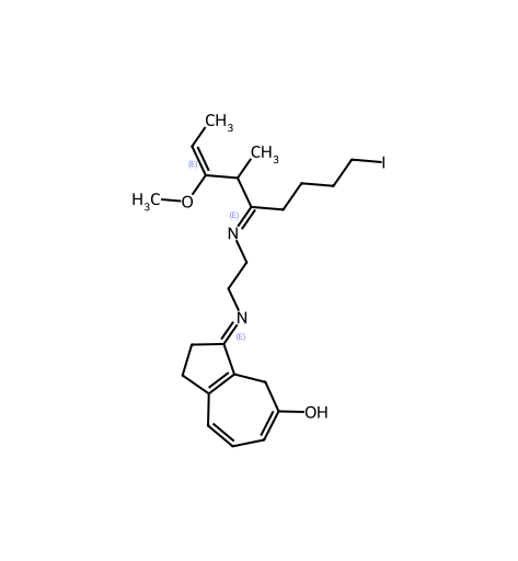 C/C=C(/OC)C(C)/C(CCCCI)=N/CC/N=C1\CCC2=C1CC(O)=CC=C2